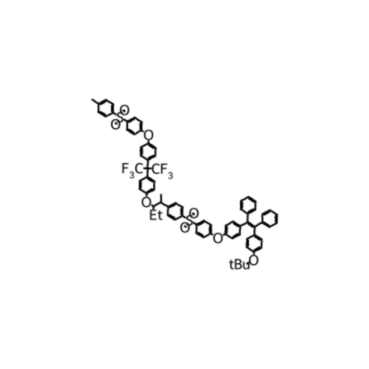 CCC(Oc1ccc(C(c2ccc(Oc3ccc(S(=O)(=O)c4ccc(C)cc4)cc3)cc2)(C(F)(F)F)C(F)(F)F)cc1)C(C)c1ccc(S(=O)(=O)c2ccc(Oc3ccc(/C(=C(/c4ccccc4)c4ccc(OC(C)(C)C)cc4)c4ccccc4)cc3)cc2)cc1